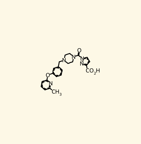 Cc1cccc(Oc2cccc(CN3CCN(C(=O)n4ccc(C(=O)O)n4)CC3)c2)n1